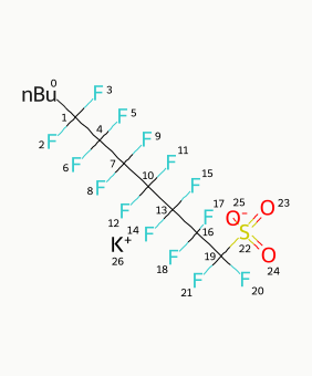 CCCCC(F)(F)C(F)(F)C(F)(F)C(F)(F)C(F)(F)C(F)(F)C(F)(F)S(=O)(=O)[O-].[K+]